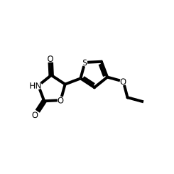 CCOc1csc(C2OC(=O)NC2=O)c1